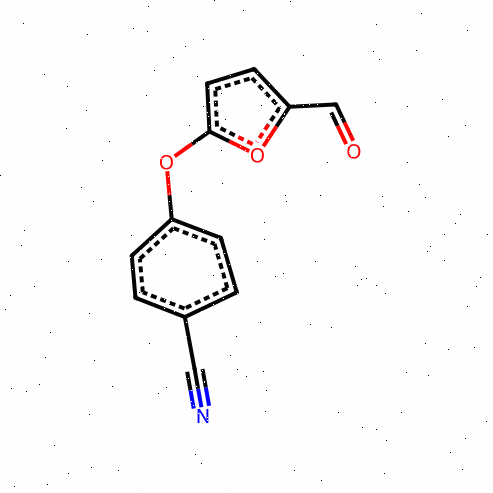 N#Cc1ccc(Oc2ccc(C=O)o2)cc1